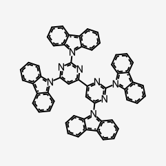 c1ccc2c(c1)c1ccccc1n2-c1cc(-c2cc(-n3c4ccccc4c4ccccc43)nc(-n3c4ccccc4c4ccccc43)n2)nc(-n2c3ccccc3c3ccccc32)n1